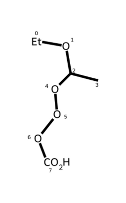 CCOC(C)OOOC(=O)O